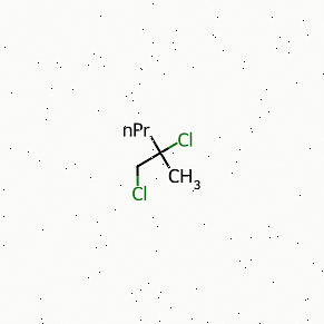 CCCC(C)(Cl)CCl